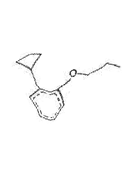 CCCOc1ccccc1C1CC1